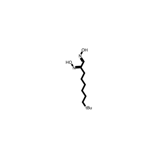 CC(C)(C)CCCCCCC(C=NO)=NO